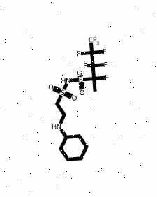 CC(F)(C(F)(F)C(F)(F)C(F)(F)F)S(=O)(=O)NS(=O)(=O)CCNC1CCCCC1